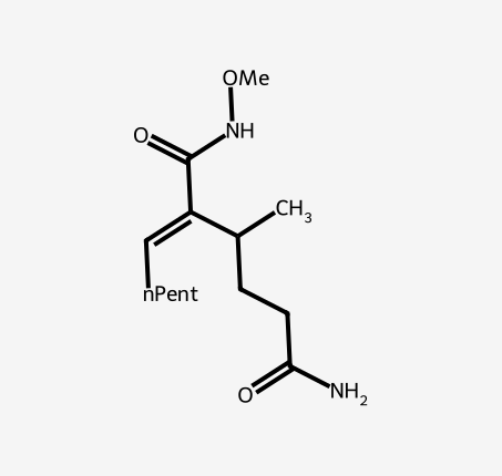 CCCCCC=C(C(=O)NOC)C(C)CCC(N)=O